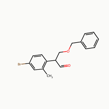 Cc1cc(Br)ccc1C(C=O)COCc1ccccc1